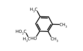 CC(=O)O.Cc1cc(C)c(C)c(O)c1